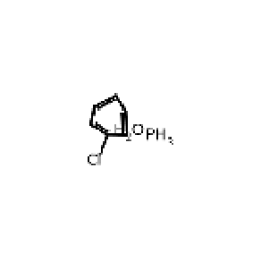 Clc1ccccc1.O.P